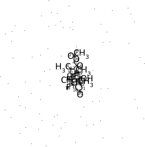 CC(=O)OCC(=O)C1=C(C)C[C@H]2[C@@H]3[C@H](Cl)[C@@H](F)C4=CC(=O)C=C[C@]4(C)[C@@]3(F)[C@@H](O)C[C@]12C